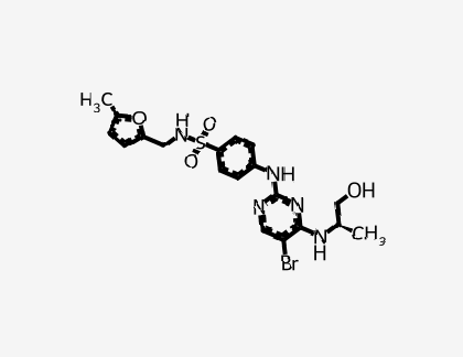 Cc1ccc(CNS(=O)(=O)c2ccc(Nc3ncc(Br)c(N[C@H](C)CO)n3)cc2)o1